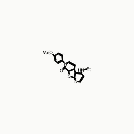 CCNc1ccnc2c1C1C=CN(c3ccc(OC)cc3)C(=O)C1S2